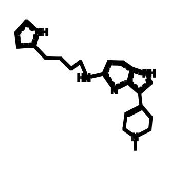 CN1CC=C(c2c[nH]c3ccc(NCCCCc4ccc[nH]4)nc23)CC1